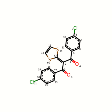 O=C(C(C(=O)c1ccc(Cl)cc1)=C1SC=CS1)c1ccc(Cl)cc1